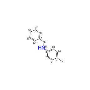 Cc1ccc(NCC2=CCCC=C2)cc1